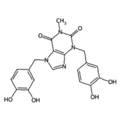 Cn1c(=O)c2c(ncn2Cc2ccc(O)c(O)c2)n(Cc2ccc(O)c(O)c2)c1=O